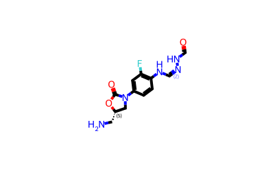 NC[C@H]1CN(c2ccc(N/C=N\NC=O)c(F)c2)C(=O)O1